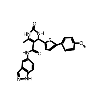 COc1ccc(-c2ccc(C3NC(=O)NC(C)=C3C(=O)Nc3ccc4[nH]ncc4c3)s2)cc1